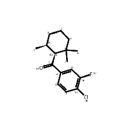 C[C@H]1CCCC(C)(C)[C@H]1C(=O)c1ccc(Cl)c(F)c1